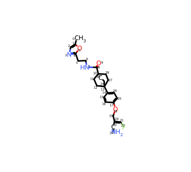 Cc1cnc(CCNC(=O)C23CCC(c4ccc(OCC(=CF)CN)cc4)(CC2)CC3)o1